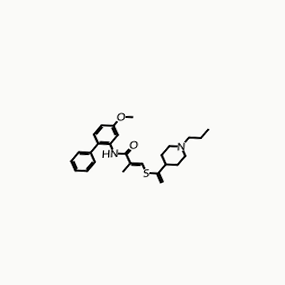 C=C(S/C=C(\C)C(=O)Nc1cc(OC)ccc1-c1ccccc1)C1CCN(CCC)CC1